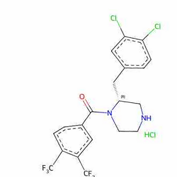 Cl.O=C(c1ccc(C(F)(F)F)c(C(F)(F)F)c1)N1CCNC[C@H]1Cc1ccc(Cl)c(Cl)c1